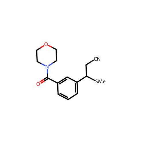 CSC(CC#N)c1cccc(C(=O)N2CCOCC2)c1